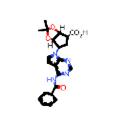 CC1(C)O[C@@H]2[C@H](O1)[C@@H](C(=O)O)C[C@H]2n1ccc2c(NC(=O)c3ccccc3)ncnc21